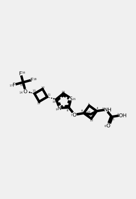 O=C(O)NC12CC(Oc3nc([C@H]4C[C@@H](OC(F)(F)F)C4)cs3)(C1)C2